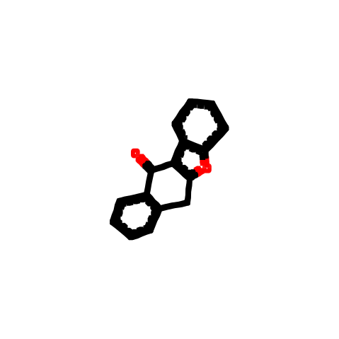 O=C1c2ccccc2Cc2oc3ccccc3c21